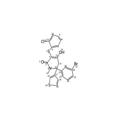 CN1C(=O)C(Sc2ccccc2Cl)=C(O)CC1(c1ccsc1)c1cccc(Br)c1